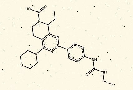 CCNC(=O)Nc1ccc(-c2nc3c(c(N4CCOCC4)n2)CCN(C(=O)O)C3CC)cc1